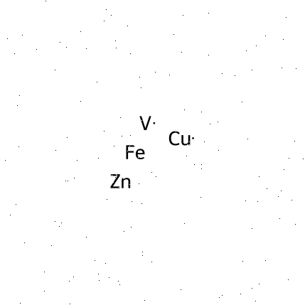 [Cu].[Fe].[V].[Zn]